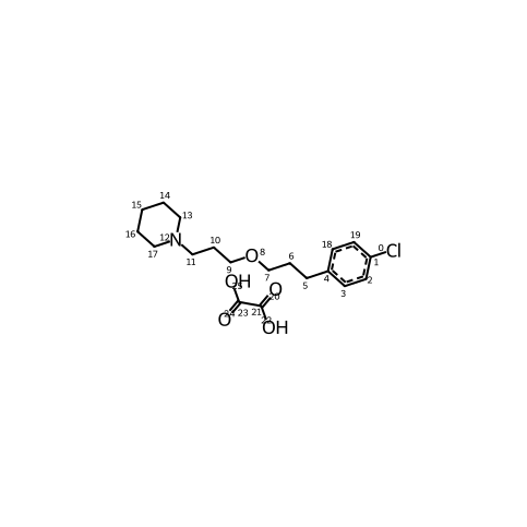 Clc1ccc(CCCOCCCN2CCCCC2)cc1.O=C(O)C(=O)O